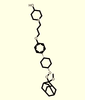 COC1(OO[C@H]2CC[C@@H](c3ccc(OCCCN4CCC(O)CC4)cc3)CC2)C2CC3CC(C2)CC1C3